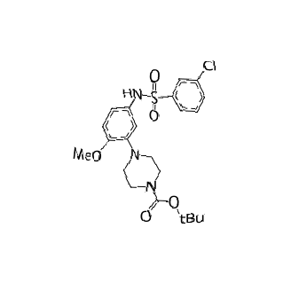 COc1ccc(NS(=O)(=O)c2cccc(Cl)c2)cc1N1CCN(C(=O)OC(C)(C)C)CC1